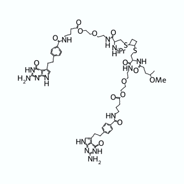 COC(C)CCC(=O)NC(CSC1CCC1SCC(NC(C)C)C(=O)NCCOCCOC(=O)CCCNC(=O)c1ccc(CCc2c[nH]c3nc(N)[nH]c(=O)c23)cc1)C(=O)NCCOCCOC(=O)CCCNC(=O)c1ccc(CCc2c[nH]c3nc(N)[nH]c(=O)c23)cc1